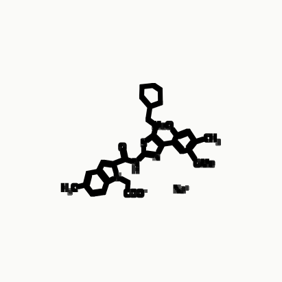 COc1cc(-c2nc(NC(=O)c3cc4cc(C)ccc4n3CC(=O)[O-])sc2CCC2CCCCC2)c(OC)cc1C.[Na+]